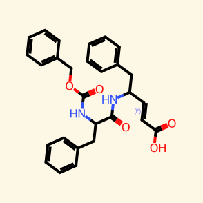 O=C(O)/C=C/C(Cc1ccccc1)NC(=O)C(Cc1ccccc1)NC(=O)OCc1ccccc1